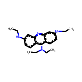 CCNCC.CCNc1ccc2cc3ccc(NCC)cc3nc2c1